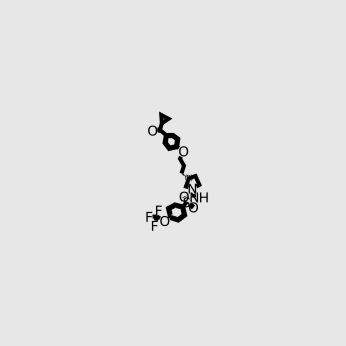 O=C(c1ccc(OCCC[C@@H]2CCN(NS(=O)(=O)c3ccc(OC(F)(F)F)cc3)C2)cc1)C1CC1